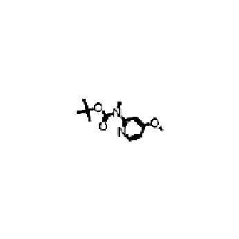 COc1ccnc(N(C)C(=O)OC(C)(C)C)c1